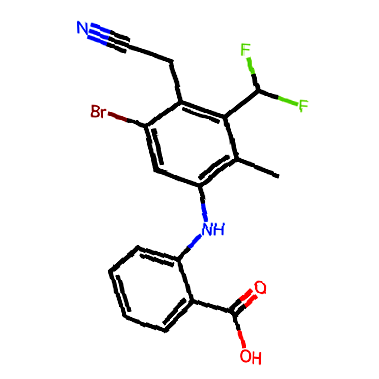 Cc1c(Nc2ccccc2C(=O)O)cc(Br)c(CC#N)c1C(F)F